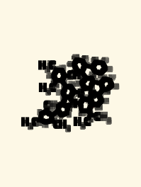 Cc1cc(C)c(-c2ccc3c(c2)c2cc(-c4c(C)cc(C)cc4C)cc4c2n3-c2cc(C(C)C)cc3c2B4c2cc(-c4ccccc4-c4ccccc4)cc(-c4ccccc4-c4ccccc4)c2O3)c(C)c1